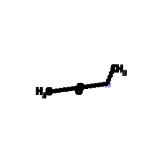 CCCCCCCC/C=C\CCCCCCCCCCCCOC(=O)CCCCCCCCCCCCCCC